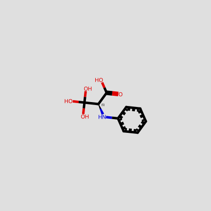 O=C(O)[C@@H](Nc1ccccc1)C(O)(O)O